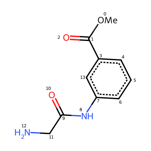 COC(=O)c1cccc(NC(=O)CN)c1